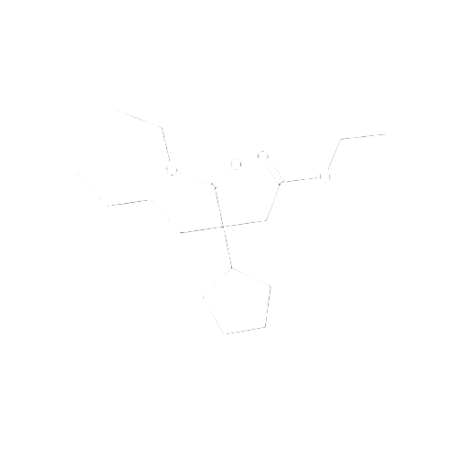 CCCCC(CC(=O)OCC)(C(=O)OCC)C1CCCC1